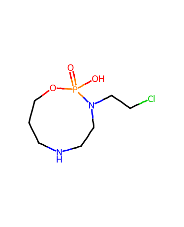 O=P1(O)OCCCNCCN1CCCl